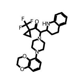 O=C(C(C1CCc2ccccc2N1)N1CCN(c2cccc3c2OCCO3)CC1)C1(C(F)(F)F)CC1